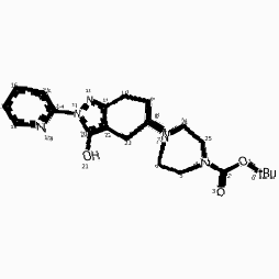 CC(C)(C)OC(=O)N1CCN(C2CCc3nn(-c4ccccn4)c(O)c3C2)CC1